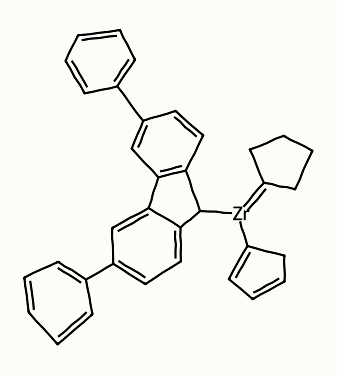 C1=CC[C]([Zr](=[C]2CCCC2)[CH]2c3ccc(-c4ccccc4)cc3-c3cc(-c4ccccc4)ccc32)=C1